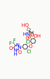 [2H]C1(NS(=O)(=O)c2cc(Oc3c(Cl)cc(-n4nc(C(F)F)c(=O)[nH]c4=O)cc3Cl)ccc2O)CC(O)C1